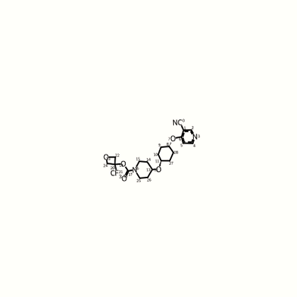 N#Cc1cnccc1O[C@H]1CC[C@H](OC2CCN(C(=O)OC3(C(F)(F)F)COC3)CC2)CC1